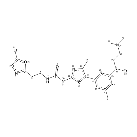 CCc1cnc(CCNC(=O)Nc2nc(C)c(-c3cc(C)nc(N(CC)CCN(C)C)n3)s2)o1